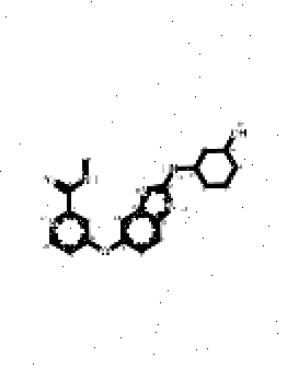 CNC(=O)c1cc(Oc2ccc3nc(NC4CCCC(O)C4)sc3c2)ccn1